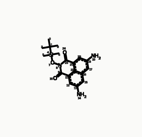 CC(C)(C)[Si](C)(C)ON1C(=O)c2cc(N)cc3cc(N)cc(c23)C1=O